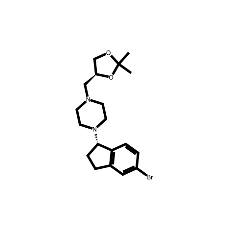 CC1(C)OC[C@H](CN2CCN([C@H]3CCc4cc(Br)ccc43)CC2)O1